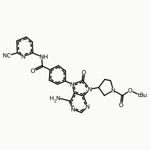 CC(C)(C)OC(=O)N1CCC(n2c(=O)n(-c3ccc(C(=O)Nc4cccc(C#N)n4)cc3)c3c(N)ncnc32)C1